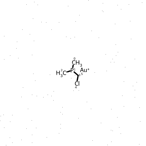 CP(C)CCl.[Au+]